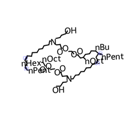 CCCCC/C=C\C/C=C\CCCCCCCCN(CCCCO)CCC(=O)OCCOC(=O)CC(CCCCCCCC)CCCC(CCCC)/C(=C/CCCCC)C/C=C\CCCCCCCCN(CCCCO)CCC(=O)OCCOC(=O)C(CCCCCC)CCCCCCCC